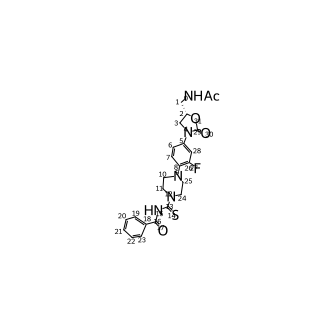 CC(=O)NC[C@H]1CN(c2ccc(N3CCN(C(=S)NC(=O)c4ccccc4)CC3)c(F)c2)C(=O)O1